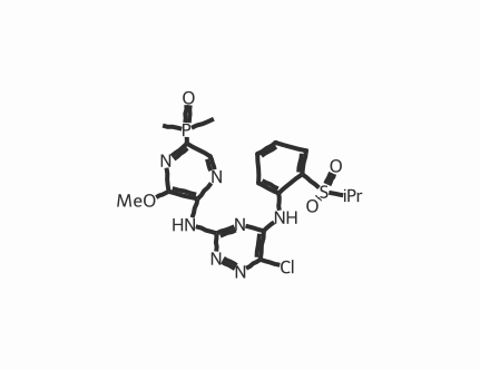 COc1nc(P(C)(C)=O)cnc1Nc1nnc(Cl)c(Nc2ccccc2S(=O)(=O)C(C)C)n1